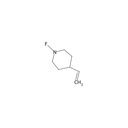 C=CC1CCN(F)CC1